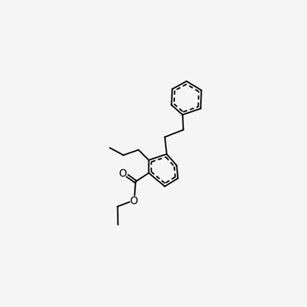 CCCc1c(CCc2ccccc2)cccc1C(=O)OCC